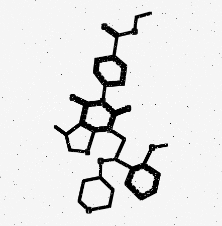 CCOC(=O)c1ccc(-n2c(=O)c3c(n(CC(OC4CCOCC4)c4ccccc4OC)c2=O)SCC3C)cc1